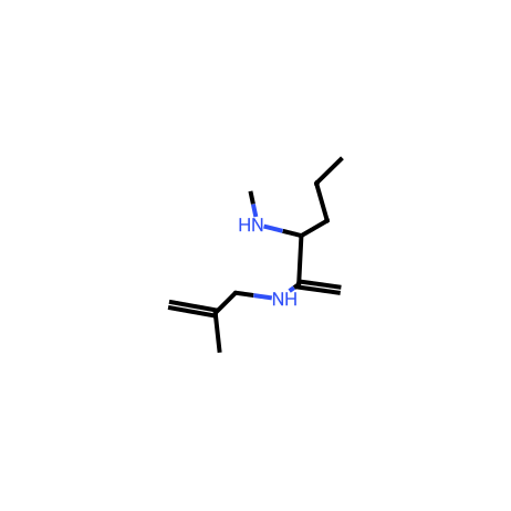 C=C(C)CNC(=C)C(CCC)NC